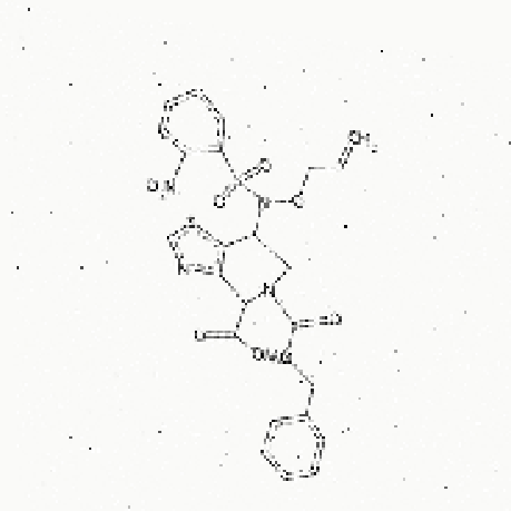 C=CCON(C1CN(C(=O)OCc2ccccc2)C(C(=O)OC)c2ncsc21)S(=O)(=O)c1ccccc1[N+](=O)[O-]